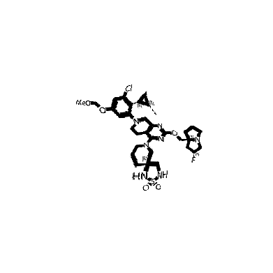 COCOc1cc(Cl)c([C@@H]2C[C@@H]2C)c(N2CCc3c(nc(OC[C@@]45CCCN4C[C@H](F)C5)nc3N3CCC[C@]4(CNS(=O)(=O)N4)C3)C2)c1